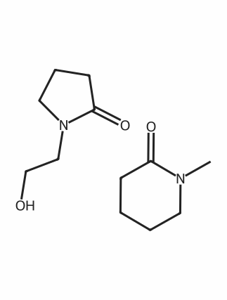 CN1CCCCC1=O.O=C1CCCN1CCO